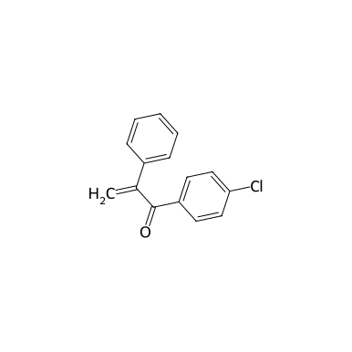 C=C(C(=O)c1ccc(Cl)cc1)c1ccccc1